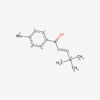 CC(C)(C)c1ccc(C(=O)/C=C/[Si](C)(C)C)cc1